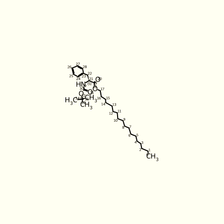 CCCCCCCCCCCCCCCCCCOC(=O)[C@H](Cc1ccccc1)NC(=O)OC(C)(C)C